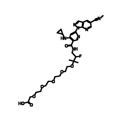 C[N+]#Cc1cnc2c(cnn2-c2cc(NC3CC3)c(C(=O)NCC(F)C(C)(C)OCCOCCOCCOCCOCC(=O)O)cn2)c1